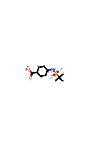 CC(C)(C)S(=O)(=O)NC1CCC(C(=O)O)CC1